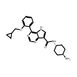 N[C@H]1CC[C@H](NC(=O)c2c[nH]c3c(-c4ccccc4OCC4CC4)ncnc23)CC1